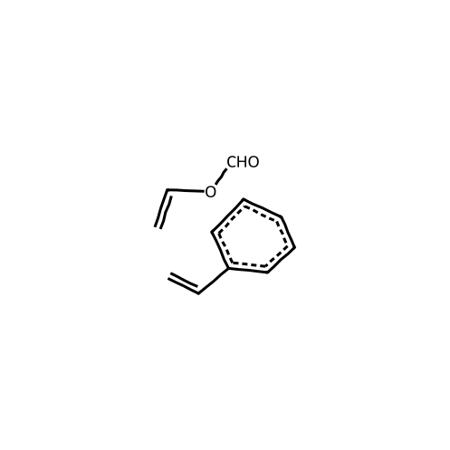 C=COC=O.C=Cc1ccccc1